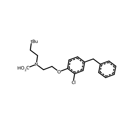 CC(C)(C)CCN(CCOc1ccc(Cc2ccccc2)cc1Cl)C(=O)O